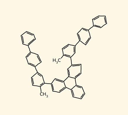 Cc1ccc(-c2ccc(-c3ccccc3)cc2)cc1-c1ccc2c3ccccc3c3ccc(-c4cc(-c5ccc(-c6ccccc6)cc5)ccc4C)cc3c2c1